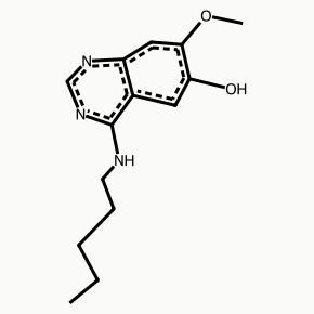 CCCCCNc1ncnc2cc(OC)c(O)cc12